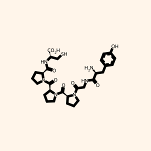 N[C@@H](Cc1ccc(O)cc1)C(=O)NCC(=O)N1CCC[C@H]1C(=O)N1CCC[C@H]1C(=O)N1CCC[C@H]1C(=O)N[C@@H](CS)C(=O)O